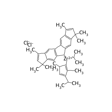 CC1=CC(C)(C)c2cc3c(cc21)-c1cc2c(cc1[CH]3[Zr+2]([C]1=C(C)C(C(C)C)=CC1C)=[C](C)C)C(C)(C)C=C2C.[Cl-].[Cl-]